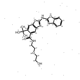 CC(C)(O)c1cc2oc(Nc3nc4ccccc4o3)nc2cc1C(=O)NCCOCCO